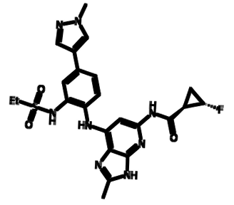 CCS(=O)(=O)Nc1cc(-c2cnn(C)c2)ccc1Nc1cc(NC(=O)[C@H]2C[C@@H]2F)nc2[nH]c(C)nc12